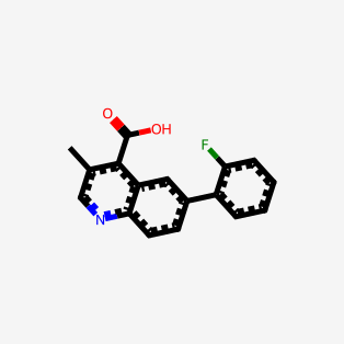 Cc1cnc2ccc(-c3ccccc3F)cc2c1C(=O)O